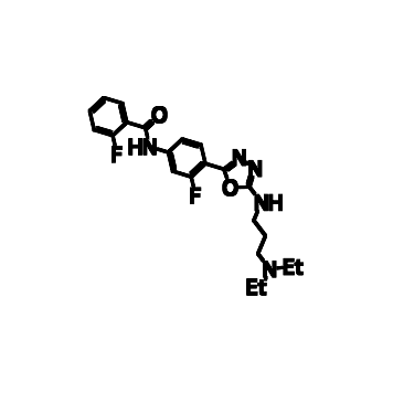 CCN(CC)CCCNc1nnc(-c2ccc(NC(=O)c3ccccc3F)cc2F)o1